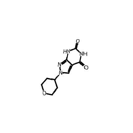 O=c1[nH]c(=O)c2cn(C3CCOCC3)nc2[nH]1